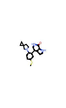 CSc1ccc(N2CCC3(CC3)C2)c(-c2c[nH]c(=O)c3[nH]ccc23)c1